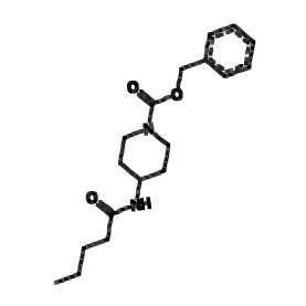 CCCCC(=O)NC1CCN(C(=O)OCc2ccccc2)CC1